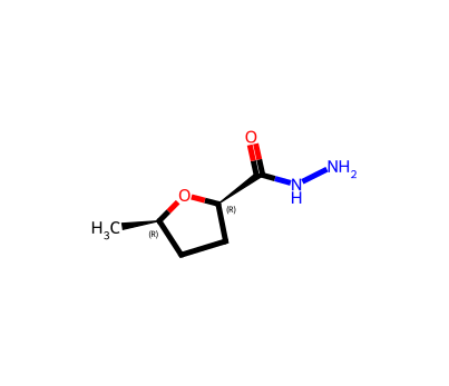 C[C@@H]1CC[C@H](C(=O)NN)O1